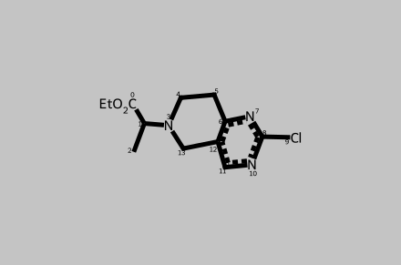 CCOC(=O)C(C)N1CCc2nc(Cl)ncc2C1